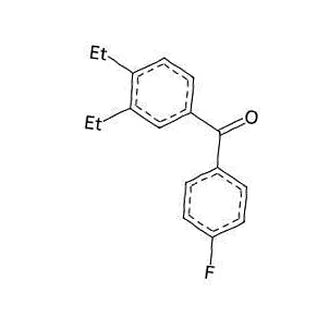 CCc1ccc(C(=O)c2ccc(F)cc2)cc1CC